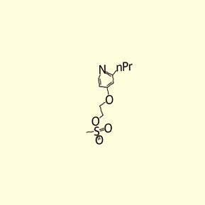 CCCc1cc(OCCOS(C)(=O)=O)ccn1